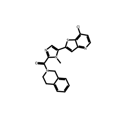 Cn1c(-c2cc3nccc(Cl)c3s2)cnc1C(=O)N1CCc2ccccc2C1